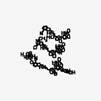 CS(=O)(=O)NCCOc1ccc2c(c1C#N)CC(CNCCC1CN(c3ccc4c(n3)NC(=O)CO4)C(=O)O1)C2.Cc1ncc(Cl)c2c1CC(CNCCC1CN(c3cnc4c(n3)NC(=O)CO4)C(=O)O1)C2.N#Cc1cccc2c1CC(CNC[C@@H](O)[C@H]1CN(c3ccc4c(c3)NC(=O)CO4)C(=O)O1)C2.O=CO.O=CO